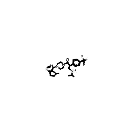 CC(C)NCC(C(=O)N1CCN(c2ncnc3c2C(C)CC3)CC1)c1ccc(C(F)(F)F)cc1